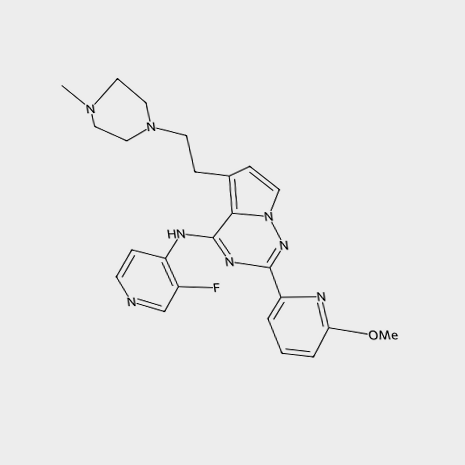 COc1cccc(-c2nc(Nc3ccncc3F)c3c(CCN4CCN(C)CC4)ccn3n2)n1